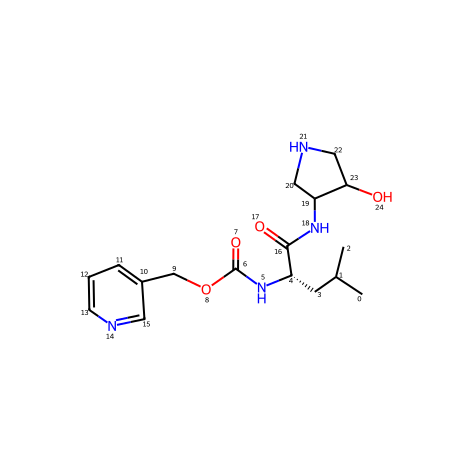 CC(C)C[C@H](NC(=O)OCc1cccnc1)C(=O)NC1CNCC1O